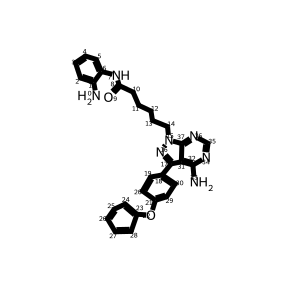 Nc1ccccc1NC(=O)CCCCCn1nc(-c2ccc(Oc3ccccc3)cc2)c2c(N)ncnc21